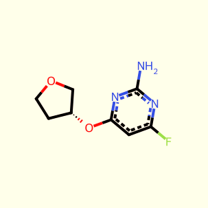 Nc1nc(F)cc(O[C@@H]2CCOC2)n1